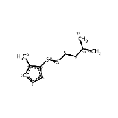 Cc1occc1SSCCC(C)C